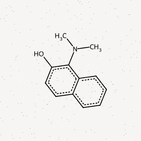 CN(C)c1c(O)ccc2ccccc12